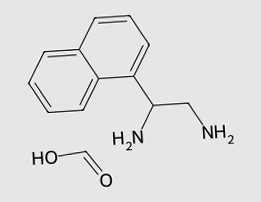 NCC(N)c1cccc2ccccc12.O=CO